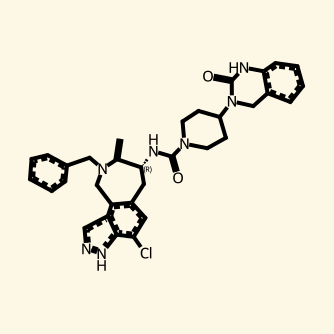 C=C1[C@H](NC(=O)N2CCC(N3Cc4ccccc4NC3=O)CC2)Cc2cc(Cl)c3[nH]ncc3c2CN1Cc1ccccc1